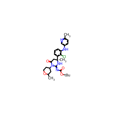 Cc1ccc(Nc2cccc([C@]3(C)CC(=O)N(C4CCOC(C)C4)/C(=N/C(=O)OC(C)(C)C)N3)c2Cl)cn1